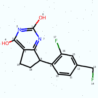 Oc1nc(O)c2c(n1)C(c1ccc(CF)cc1F)CC2